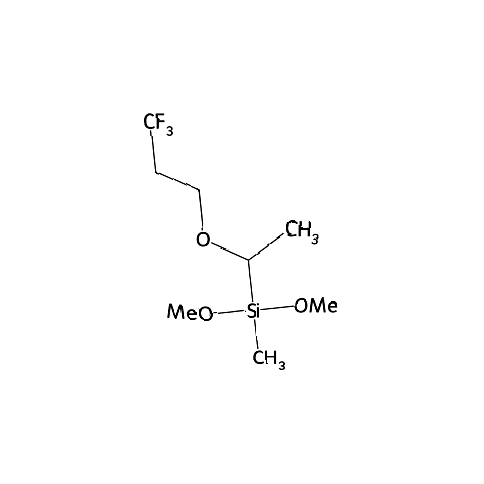 CO[Si](C)(OC)C(C)OCCC(F)(F)F